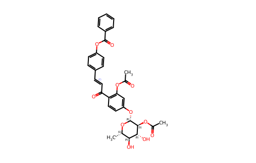 CC(=O)Oc1cc(O[C@H]2O[C@@H](C)[C@H](O)[C@@H](O)[C@@H]2OC(C)=O)ccc1C(=O)/C=C/c1ccc(OC(=O)c2ccccc2)cc1